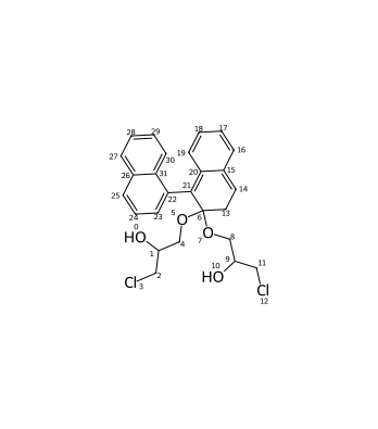 OC(CCl)COC1(OCC(O)CCl)CC=c2ccccc2=C1c1cccc2ccccc12